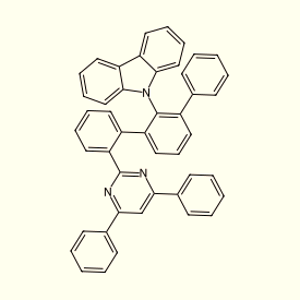 c1ccc(-c2cc(-c3ccccc3)nc(-c3ccccc3-c3cccc(-c4ccccc4)c3-n3c4ccccc4c4ccccc43)n2)cc1